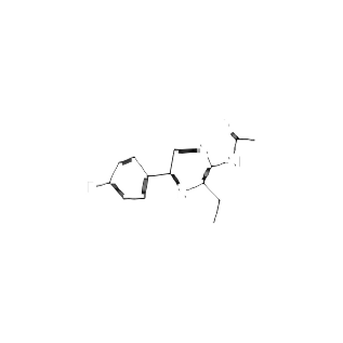 CCc1nc(-c2ccc(F)cc2)cnc1NC(C)=O